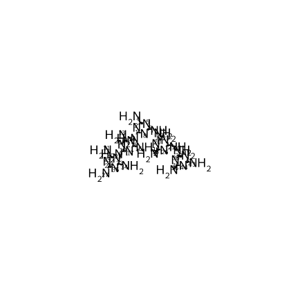 Nc1nc(N)nc(N)n1.Nc1nc(N)nc(N)n1.Nc1nc(N)nc(N)n1.Nc1nc(N)nc(N)n1.Nc1nc(N)nc(N)n1